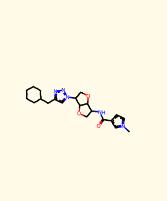 Cn1ccc(C(=O)NC2COC3C2OCC3n2cc(CC3CCCCC3)nn2)c1